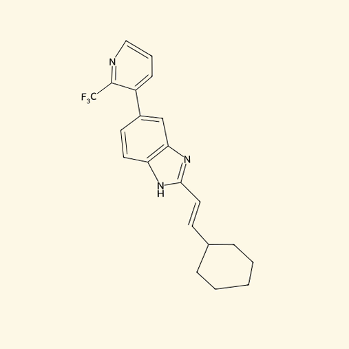 FC(F)(F)c1ncccc1-c1ccc2[nH]c(C=CC3CCCCC3)nc2c1